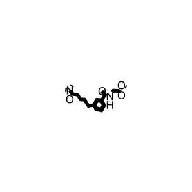 COC(=O)CNC(=O)c1cccc(CCCCC(=O)N(C)C)c1